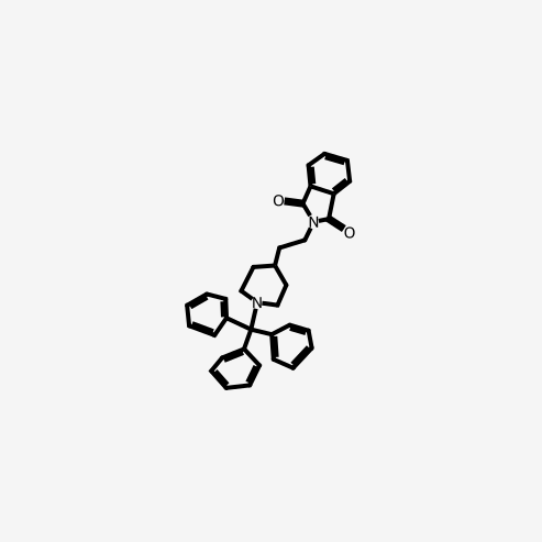 O=C1c2ccccc2C(=O)N1CCC1CCN(C(c2ccccc2)(c2ccccc2)c2ccccc2)CC1